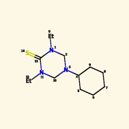 CCN1CN(C2CCCCC2)CN(CC)C1=S